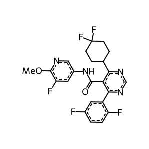 COc1ncc(NC(=O)c2c(-c3cc(F)ccc3F)ncnc2C2CCC(F)(F)CC2)cc1F